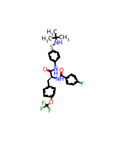 CC(C)(C)NSc1ccc(NC(=O)[C@H](Cc2ccc(OC(F)(F)F)cc2)NC(=O)c2ccc(F)cc2)cc1